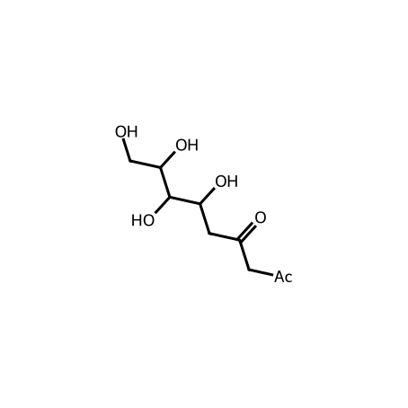 CC(=O)CC(=O)CC(O)C(O)C(O)CO